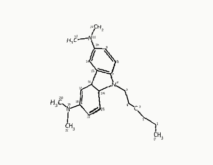 CCCCCCN1c2ccc(N(C)C)cc2C2C=C(N(C)C)C=CC21